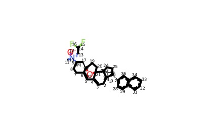 C[C@]12CC=C3C=C4CC[C@@H]([N+](C)([O-])CC(F)F)C[C@]45CCC3(O5)[C@@H]1CC[C@@H]2c1ccc2ccccc2c1